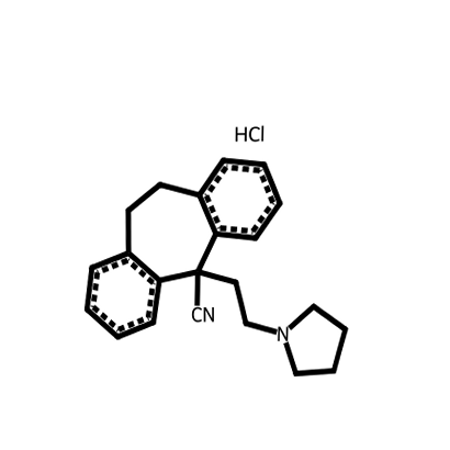 Cl.N#CC1(CCN2CCCC2)c2ccccc2CCc2ccccc21